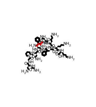 NCCCC[C@H](NC(=O)[C@H](CCCCN)NC(=O)[C@H](Cc1c[nH]c2ccccc12)NC(=O)[C@H](CCCCN)NC(=O)[C@H](CCN)NC(=O)[C@H](CCN)NC(=O)[C@H](Cc1c[nH]c2ccccc12)NC(=O)[C@H](CCN)NC(=O)[C@@H]1CCCCN1C(=O)CNC(=O)[C@H](CCN)NC(=O)CN)C(=O)O